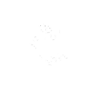 Cc1cc([C@@H]2CN(c3cc(-c4ccccc4O)nnc3N)[C@H](C)CO2)c(C)cc1C(=O)N1CCC(F)(CN2CCC(n3cc(C)c4cc(N5CCC(=O)NC5=O)cnc43)CC2)CC1